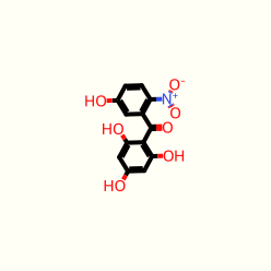 O=C(c1cc(O)ccc1[N+](=O)[O-])c1c(O)cc(O)cc1O